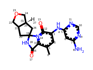 Cc1cc(Nc2cc(N)ncn2)c(=O)n2c1C(=O)NC21CC2COC[C@H]2C1